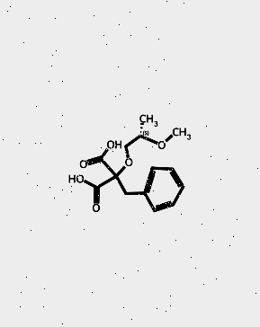 CO[C@@H](C)COC(Cc1ccccc1)(C(=O)O)C(=O)O